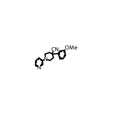 COc1cccc(C2(C#N)CCN(c3cccnc3)CC2)c1